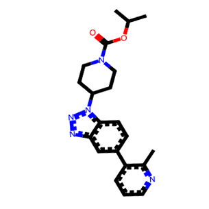 Cc1ncccc1-c1ccc2c(c1)nnn2C1CCN(C(=O)OC(C)C)CC1